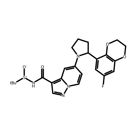 CC(C)(C)[S+]([O-])NC(=O)c1cnn2ccc(N3CCCC3c3cc(F)cc4c3OCCO4)cc12